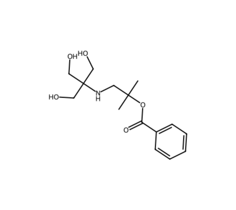 CC(C)(CNC(CO)(CO)CO)OC(=O)c1ccccc1